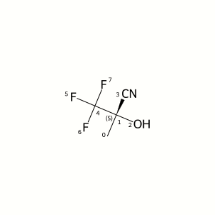 C[C@](O)(C#N)C(F)(F)F